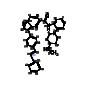 CNC1CCN(c2ccccc2NC(=O)c2ccn3ncc(-c4ccc(/C=C/c5ccccc5)cc4)c3n2)CC1